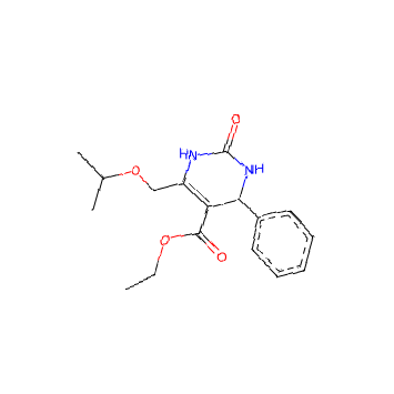 CCOC(=O)C1=C(COC(C)C)NC(=O)NC1c1ccccc1